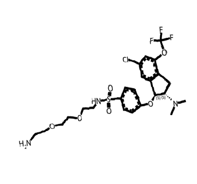 CN(C)[C@H]1Cc2c(OC(F)(F)F)cc(Cl)cc2[C@@H]1Oc1ccc(S(=O)(=O)NCCOCCOCCN)cc1